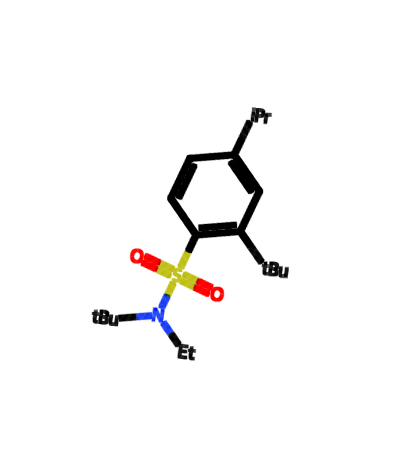 CCN(C(C)(C)C)S(=O)(=O)c1ccc(C(C)C)cc1C(C)(C)C